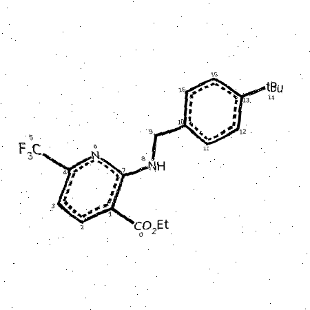 CCOC(=O)c1ccc(C(F)(F)F)nc1NCc1ccc(C(C)(C)C)cc1